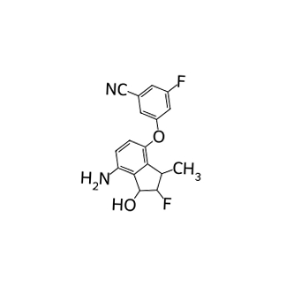 CC1c2c(Oc3cc(F)cc(C#N)c3)ccc(N)c2C(O)C1F